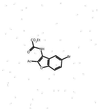 CCOC(=O)C(=O)Nc1c(C(C)=O)oc2ccc(Br)cc12